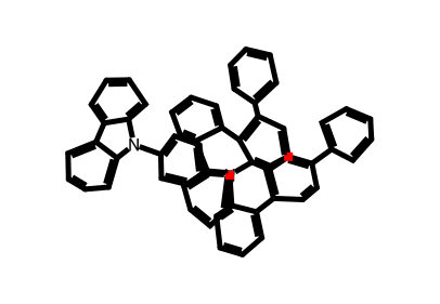 c1ccc(-c2ccc(-c3ccccc3N(c3ccc(-n4c5ccccc5c5ccccc54)cc3)c3cccc(-c4ccccc4)c3-c3ccccc3-c3ccccc3)cc2)cc1